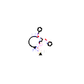 CC1(S(=O)(=O)NC(=O)[C@@]23C[C@H]2/C=C\CCCCC[C@H](NCc2ccccc2)C(=O)N2C[C@H](Oc4nc5ccccc5o4)C[C@H]2C(=O)N3)CC1